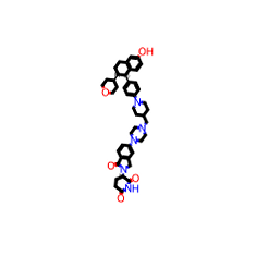 O=C1CC[C@H](N2Cc3cc(N4CCN(CC5CCN(c6ccc([C@@H]7c8ccc(O)cc8CC[C@@H]7C7CCOCC7)cc6)CC5)CC4)ccc3C2=O)C(=O)N1